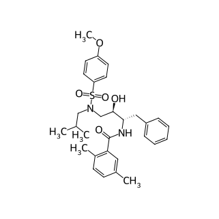 COc1ccc(S(=O)(=O)N(CC(C)C)C[C@@H](O)[C@H](Cc2ccccc2)NC(=O)c2cc(C)ccc2C)cc1